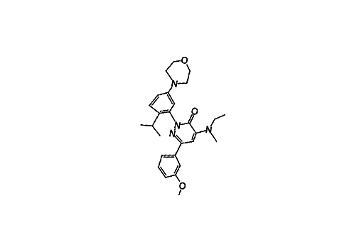 CCN(C)c1cc(-c2cccc(OC)c2)nn(-c2cc(N3CCOCC3)ccc2C(C)C)c1=O